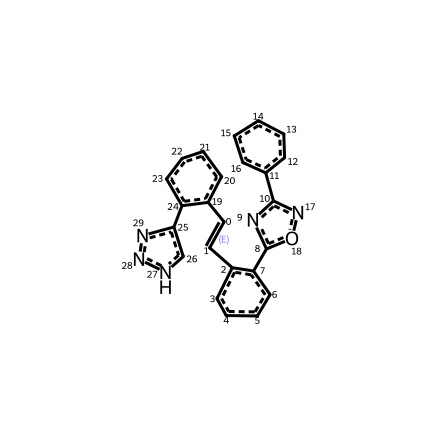 C(=C\c1ccccc1-c1nc(-c2ccccc2)no1)/c1ccccc1-c1c[nH]nn1